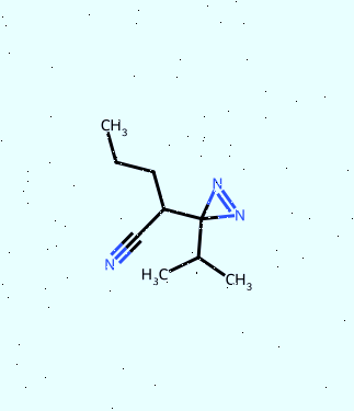 CCCC(C#N)C1(C(C)C)N=N1